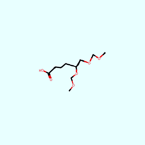 COCOCC(CCCC(=O)O)OCOC